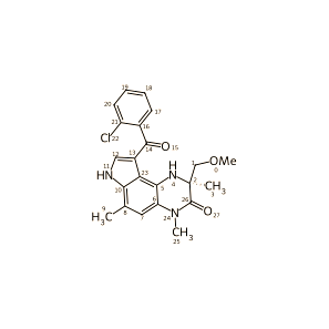 COC[C@]1(C)Nc2c(cc(C)c3[nH]cc(C(=O)c4ccccc4Cl)c23)N(C)C1=O